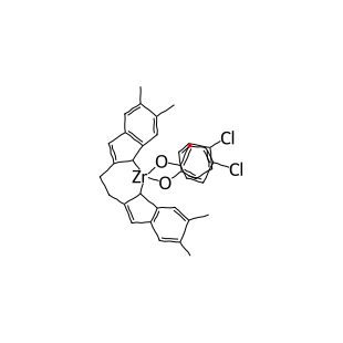 Cc1cc2c(cc1C)[CH]1C(=C2)CCC2=Cc3cc(C)c(C)cc3[CH]2[Zr]1([O]c1ccc(Cl)cc1)[O]c1ccc(Cl)cc1